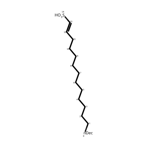 CCCCCCCCCCCCCCCCCCCCC/C=C/S(=O)(=O)O